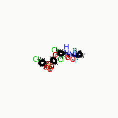 O=C(NC(=O)c1c(F)cccc1F)Nc1cc(Cl)c(Oc2ccc(OS(=O)(=O)Oc3ccc(Cl)cc3)cc2)c(Cl)c1